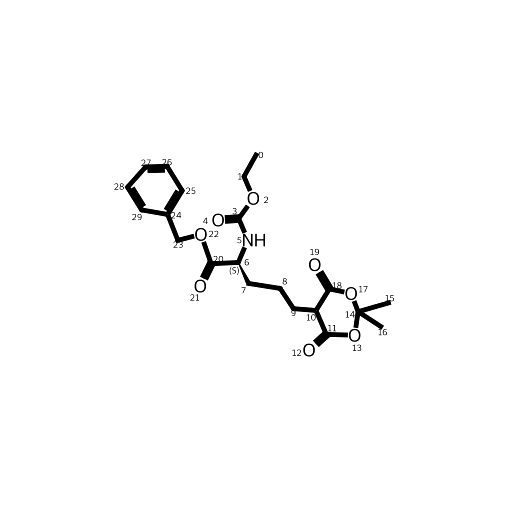 CCOC(=O)N[C@@H](CCCC1C(=O)OC(C)(C)OC1=O)C(=O)OCc1ccccc1